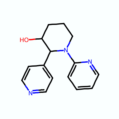 OC1CCCN(c2ccccn2)C1c1ccncc1